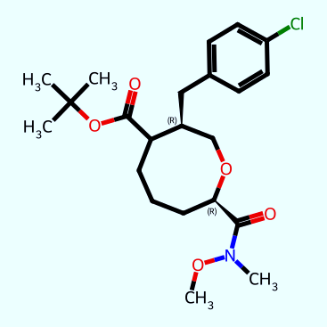 CON(C)C(=O)[C@H]1CCCC(C(=O)OC(C)(C)C)[C@@H](Cc2ccc(Cl)cc2)CO1